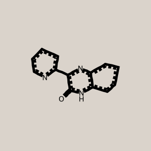 O=c1[nH]c2ccccc2nc1-c1ccccn1